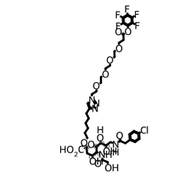 O=C(Cc1ccc(Cl)cc1)NC[C@@H](O)[C@@H](O)[C@@H]1O[C@@](OCCCCCCc2cn(CCOCCOCCOCCOCCC(=O)Oc3c(F)c(F)c(F)c(F)c3F)nn2)(C(=O)O)C[C@H](O)[C@H]1NC(=O)CO